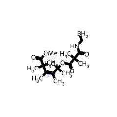 BCNC(=O)C(C)(C)C(=O)OC(C)(C)/C(C)=C(/C)C(C)(C)C(=O)OC